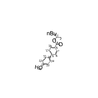 CCCCC(C)OC(=O)c1ccc(-c2ccc(O)cc2)cc1